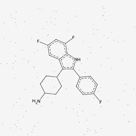 NC1CCC(c2c(-c3ccc(F)cc3)[nH]c3c(F)cc(F)cc23)CC1